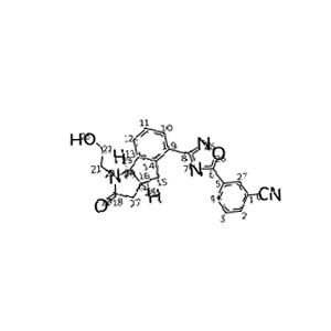 N#Cc1cccc(-c2nc(-c3cccc4c3C[C@H]3CC(=O)N(CCO)[C@@H]43)no2)c1